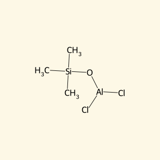 C[Si](C)(C)[O][Al]([Cl])[Cl]